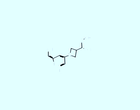 C=C/C(=C\C(I)=C/C)N1CC([C@H](O)OC)C1